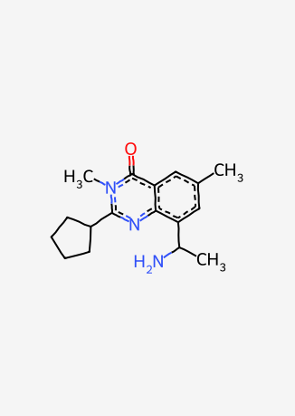 Cc1cc(C(C)N)c2nc(C3CCCC3)n(C)c(=O)c2c1